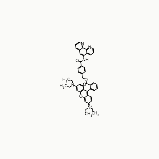 CCN(CC)c1ccc2c(-c3ccccc3C(=O)OCc3ccc(C(=O)Nc4cc5cccnc5c5ncccc45)cc3)c3ccc(=[N+](CC)CC)cc-3oc2c1